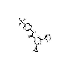 O=C(Nc1ccc(C(F)(F)F)nc1)c1cc(C2CC2)nc(-c2cncs2)n1